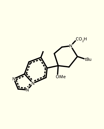 COC1(c2cn3ncnc3cc2C)CCN(C(=O)O)C(C(C)(C)C)C1